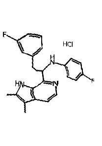 Cc1[nH]c2c(C(Cc3cccc(F)c3)Nc3ccc(F)cc3)nccc2c1C.Cl